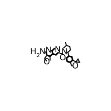 CC1CCC(c2ccc3c(c2)C2(CC2)OC3)N(C(=O)c2cc3c4c(c(N)nc3cn2)COC4)C1